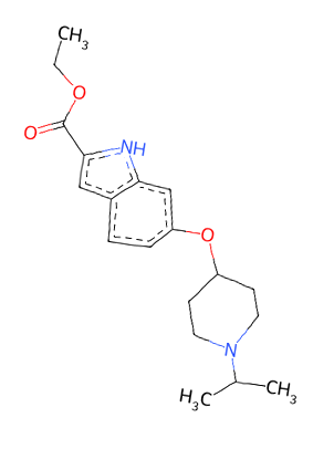 CCOC(=O)c1cc2ccc(OC3CCN(C(C)C)CC3)cc2[nH]1